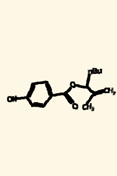 C=C(C)C(CCCC)OC(=O)c1ccc(N=O)cc1